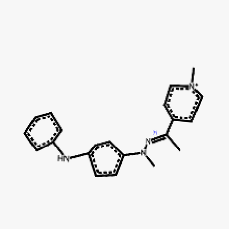 C/C(=N\N(C)c1ccc(Nc2ccccc2)cc1)c1cc[n+](C)cc1